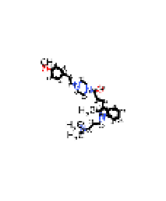 COc1ccc(CCN2CCN(C(=O)C=Cc3c(C)n(CCCN(C)C)c4ccccc34)CC2)cc1